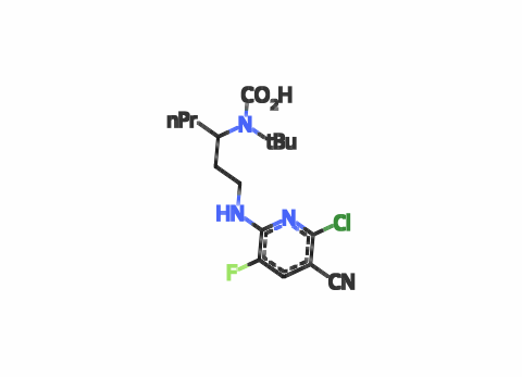 CCCC(CCNc1nc(Cl)c(C#N)cc1F)N(C(=O)O)C(C)(C)C